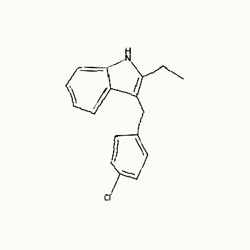 CCc1[nH]c2ccccc2c1Cc1ccc(Cl)cc1